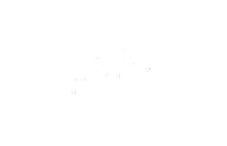 CCCCC(CC(=O)O)c1cc(C(C)(C)C)c(Oc2cc(C(C)(C)C)c(OC)cc2C(C)(C)C)c(C(C)(C)C)c1